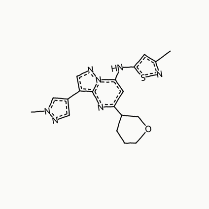 Cc1cc(Nc2cc(C3CCCOC3)nc3c(-c4cnn(C)c4)cnn23)sn1